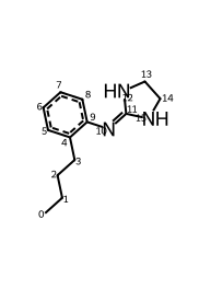 CCCCc1ccccc1N=C1NCCN1